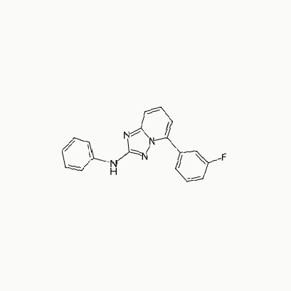 Fc1cccc(-c2cccc3nc(Nc4ccccc4)nn23)c1